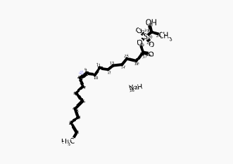 CCCCCCCC/C=C\CCCCCCCC(=O)OS(=O)(=O)C(C)O.[NaH]